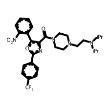 CC(C)N(CCN1CCN(C(=O)c2nc(-c3ccc(C(F)(F)F)cc3)oc2-c2ccccc2[N+](=O)[O-])CC1)C(C)C